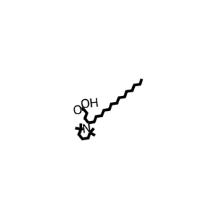 CCCCCCCCCCCCCCC(CCC(=O)O)N1C(C)(C)CCCC1(C)C